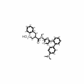 CN(C)c1ccc(-c2ccccc2-c2csc(N(C)C(=O)C(CC(=O)O)Cc3ccccc3)n2)cc1